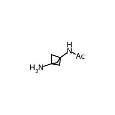 CC(=O)NC12CC(N)(C1)C2